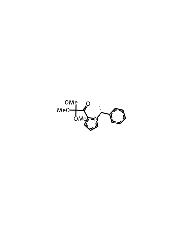 COC(OC)(OC)C(=O)c1cccn1[C@H](C)c1ccccc1